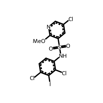 COc1ncc(Cl)cc1S(=O)(=O)Nc1ccc(Cl)c(I)c1Cl